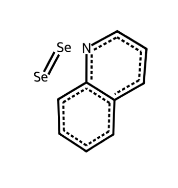 [Se]=[Se].c1ccc2ncccc2c1